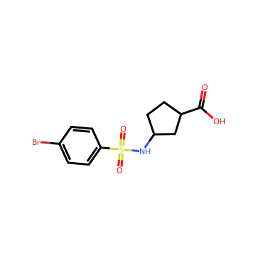 O=C(O)C1CCC(NS(=O)(=O)c2ccc(Br)cc2)C1